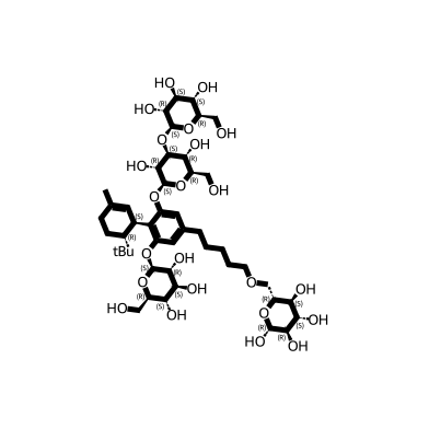 CC1=C[C@@H](c2c(O[C@@H]3O[C@H](CO)[C@@H](O)[C@H](O)[C@H]3O)cc(CCCCCOC[C@H]3O[C@@H](O)[C@H](O)[C@@H](O)[C@@H]3O)cc2O[C@@H]2O[C@H](CO)[C@@H](O)[C@H](O[C@@H]3O[C@H](CO)[C@@H](O)[C@H](O)[C@H]3O)[C@H]2O)[C@H](C(C)(C)C)CC1